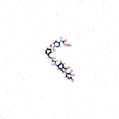 CC(C)(C)OC(=O)NC1CCN(S(=O)(=O)c2cccc(CNCCNc3cc4c(cc3F)C(=O)N(C3CCC(=O)NC3=O)C4)c2)CC1